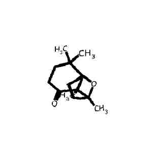 CC1(C)CCC(=O)C2(C)C3(C)CCC12O3